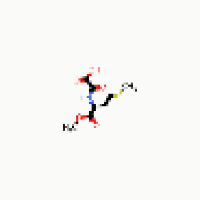 COC(=O)[C@H](CCSC)NC(=O)C(=O)O